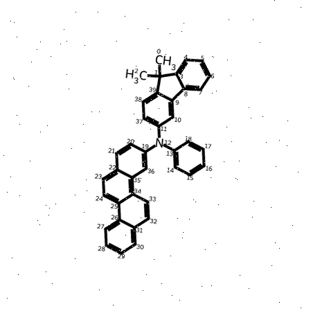 CC1(C)c2ccccc2-c2cc(N(c3ccccc3)c3ccc4ccc5c6ccccc6ccc5c4c3)ccc21